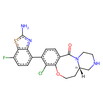 Nc1nc2c(-c3ccc4c(c3Cl)OCC[C@H]3CNCCN3C4=O)ccc(F)c2s1